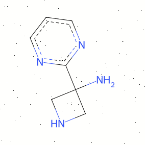 NC1(c2ncccn2)CNC1